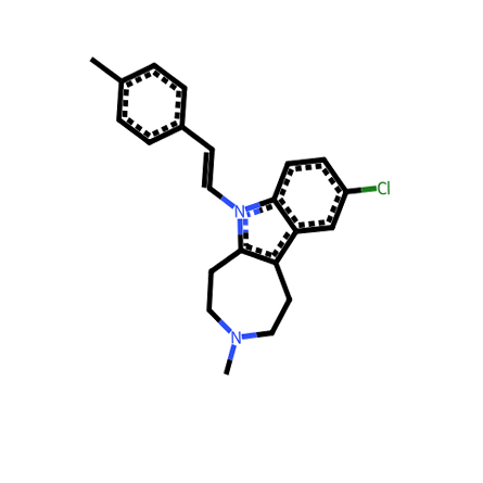 Cc1ccc(/C=C/n2c3c(c4cc(Cl)ccc42)CCN(C)CC3)cc1